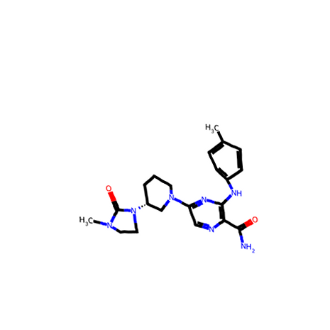 Cc1ccc(Nc2nc(N3CCC[C@@H](N4CCN(C)C4=O)C3)cnc2C(N)=O)cc1